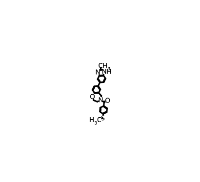 CSc1ccc(C(=O)N2CCOc3ccc(-c4ccc5[nH]c(C)nc5c4)cc3C2)cc1